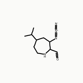 CC(C)C1CCNC(C=O)C(N=[N+]=[N-])C1